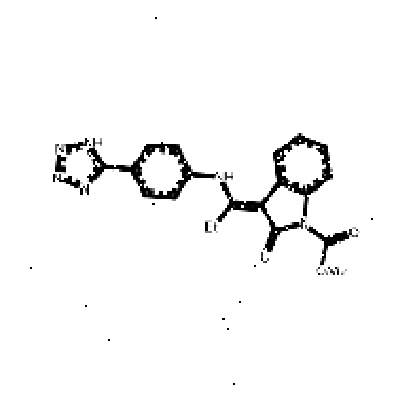 CCC(Nc1ccc(-c2nnn[nH]2)cc1)=C1C(=O)N(C(=O)OC)c2ccccc21